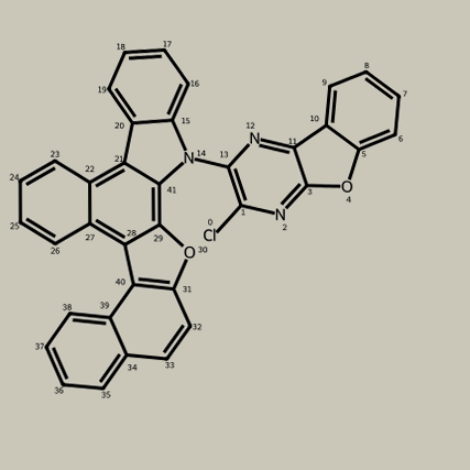 Clc1nc2oc3ccccc3c2nc1-n1c2ccccc2c2c3ccccc3c3c(oc4ccc5ccccc5c43)c21